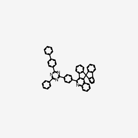 c1ccc(-c2ccc(-c3nc(-c4ccccc4)nc(-c4ccc(-c5nc6ccccc6c6c5-c5ccccc5C65c6ccccc6-c6ccccc65)cc4)n3)cc2)cc1